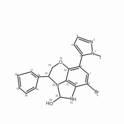 Cn1nccc1-c1cc(Br)c2c3c1OCC(c1ccccc1)N3C(O)N2